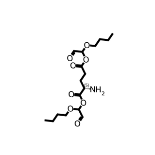 CCCCOC(C=O)OC(=O)CC[C@H](N)C(=O)OC(C=O)OCCCC